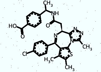 Cc1sc2c(c1C)C(c1ccc(Cl)cc1)=N[C@@H](CC(=O)NC(C)c1ccc(C(=O)O)cc1)c1nnc(C)n1-2